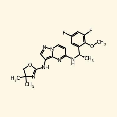 COc1c(F)cc(F)cc1[C@@H](C)Nc1ccn2ncc(NC3=NC(C)(C)CO3)c2n1